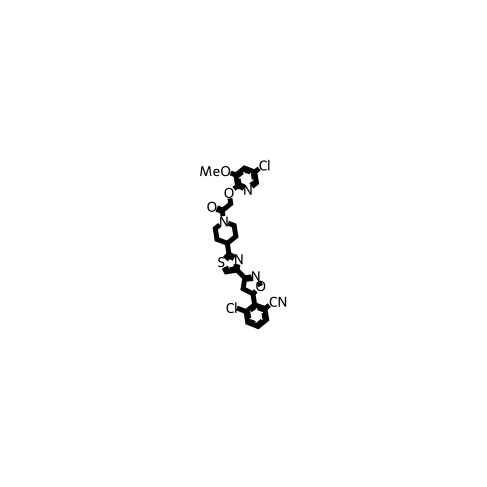 COc1cc(Cl)cnc1OCC(=O)N1CCC(c2nc(C3=NOC(c4c(Cl)cccc4C#N)C3)cs2)CC1